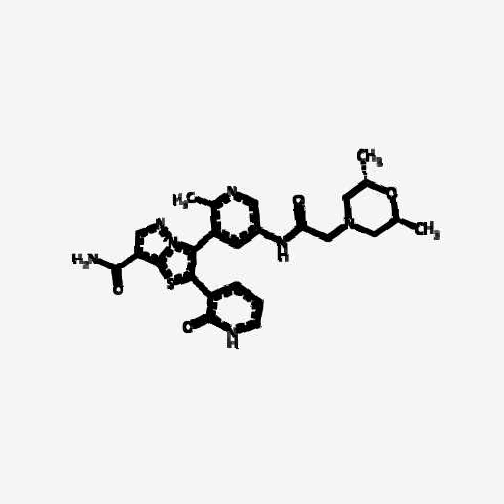 Cc1ncc(NC(=O)CN2C[C@H](C)O[C@@H](C)C2)cc1-c1c(-c2ccc[nH]c2=O)sc2c(C(N)=O)cnn12